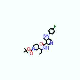 CCC(NC(=O)c1cncc2c1cnn2-c1ccc(F)cc1)C1CCCN(C(=O)OC(C)(C)C)C1